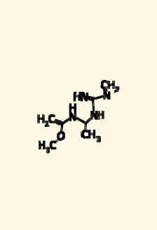 C=NC(=N)NC(C)NC(=C)OC